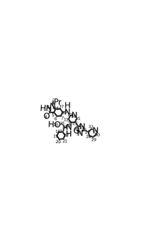 CC(C)n1[nH]c(=O)c2ccc(Nc3cc(N[C@H](CO)c4ccccc4)c(-c4nc(-c5cccnc5)no4)cn3)cc21